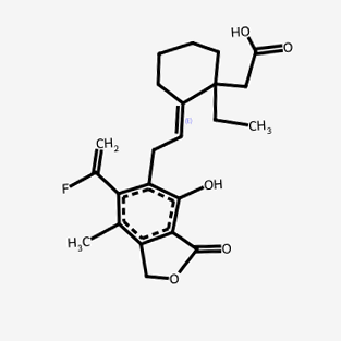 C=C(F)c1c(C)c2c(c(O)c1C/C=C1\CCCCC1(CC)CC(=O)O)C(=O)OC2